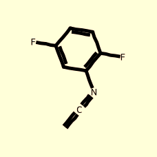 C=C=Nc1cc(F)ccc1F